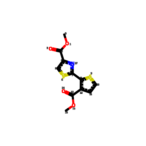 COC(=O)c1csc(-c2sccc2C(=O)OC)n1